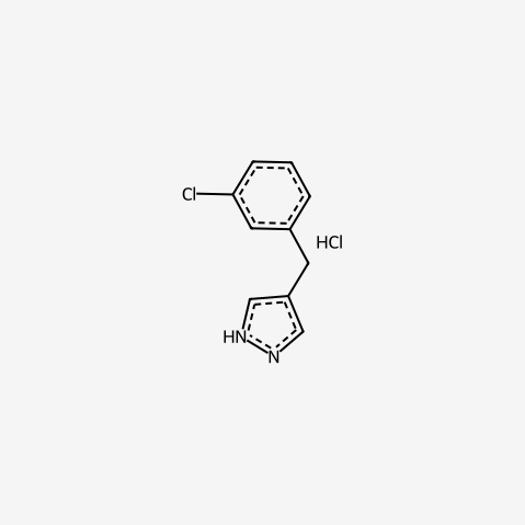 Cl.Clc1cccc(Cc2cn[nH]c2)c1